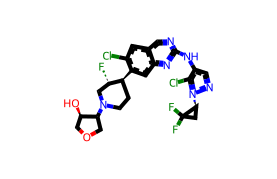 O[C@@H]1COCC1N1CC[C@H](c2cc3nc(Nc4cnn([C@@H]5CC5(F)F)c4Cl)ncc3cc2Cl)[C@@H](F)C1